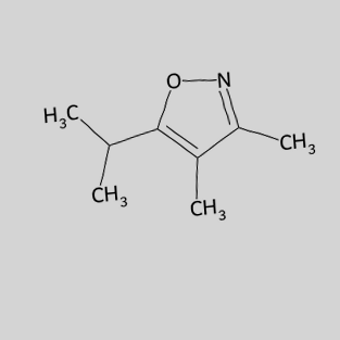 Cc1noc(C(C)C)c1C